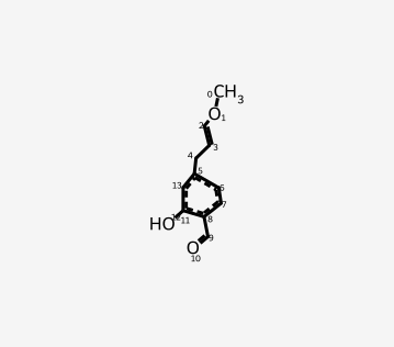 COC=CCc1ccc(C=O)c(O)c1